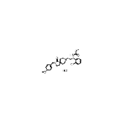 COC(=O)NC(CCN1CCC2(CC1)CCN(Cc1ccc(OC)cc1)C2=O)c1ccccc1Cl.Cl